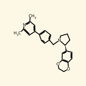 Cc1cc(-c2ccc(CN3CCC[C@H]3c3ccc4c(c3)OCCO4)cc2)cc(C)n1